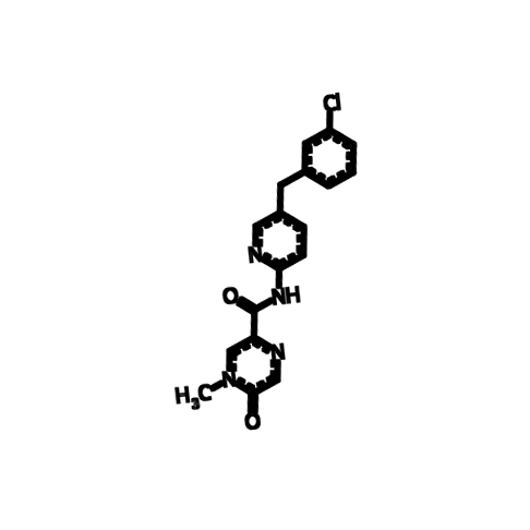 Cn1cc(C(=O)Nc2ccc(Cc3cccc(Cl)c3)cn2)ncc1=O